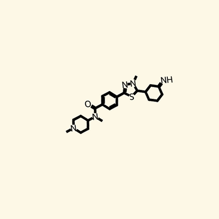 CN1CCC(N(C)C(=O)c2ccc(C3=NN(C)C(C4CCCC(=N)C4)S3)cc2)CC1